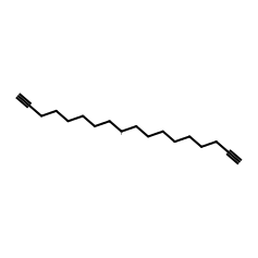 C#CCCCCCC[CH]CCCCCCCC#C